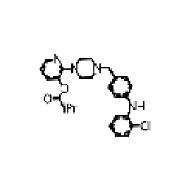 CC(C)C(=O)Oc1cccnc1N1CCN(Cc2ccc(Nc3ccccc3Cl)cc2)CC1